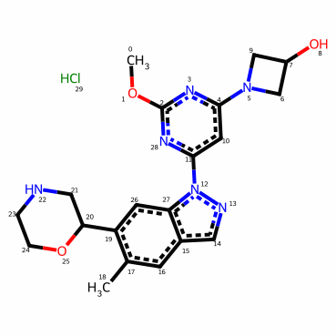 COc1nc(N2CC(O)C2)cc(-n2ncc3cc(C)c(C4CNCCO4)cc32)n1.Cl